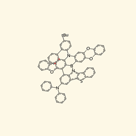 CC(C)(C)c1ccc(N2c3cc4c(cc3B3c5c2cc2c(oc6ccccc62)c5-c2cc(N(c5ccccc5)c5ccccc5)cc5c6sc7ccccc7c6n3c25)Oc2ccccc2O4)c(-c2ccccc2)c1